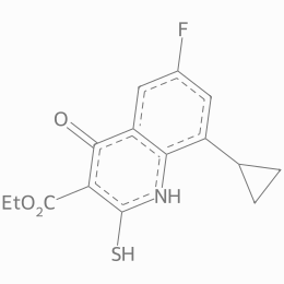 CCOC(=O)c1c(S)[nH]c2c(C3CC3)cc(F)cc2c1=O